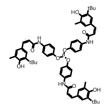 Cc1cc(/C=C\C(=O)Nc2ccc(OP(Oc3ccc(NC(=O)/C=C\c4cc(C)c(O)c(C(C)(C)C)c4)cc3)Oc3ccc(NC(=O)/C=C\c4cc(C)c(O)c(C(C)(C)C)c4)cc3)cc2)cc(C(C)(C)C)c1O